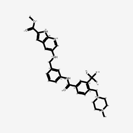 COC(=O)c1cc2cc(NCc3cccc(NC(=O)c4ccc(CN5CCN(C)CC5)c(C(F)(F)F)c4)c3)cnc2[nH]1